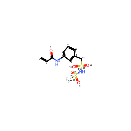 C=CC(=O)Nc1cccc(CS(=O)(=O)NS(=O)(=O)C(F)(F)F)c1